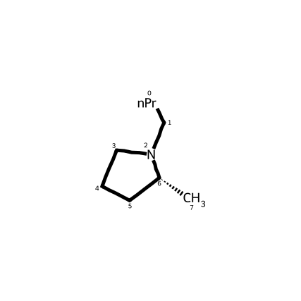 CCCCN1CCC[C@H]1C